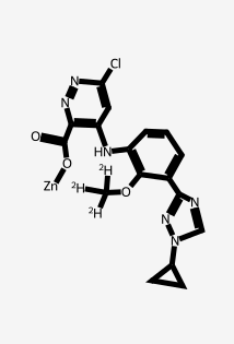 [2H]C([2H])([2H])Oc1c(Nc2cc(Cl)nnc2C(=O)[O][Zn])cccc1-c1ncn(C2CC2)n1